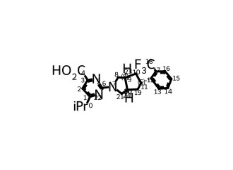 CC(C)c1cc(C(=O)O)nc(N2C[C@H]3C[C@H](c4ccccc4C(F)(F)F)C[C@H]3C2)n1